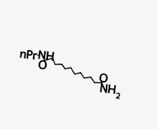 CCCNC(=O)CCCCCCCCCCC(N)=O